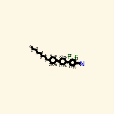 CCCCCCCCC1CCC(C2CCC(c3ccc(C#N)c(F)c3F)CC2)CC1